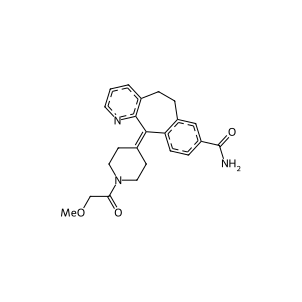 COCC(=O)N1CCC(=C2c3ccc(C(N)=O)cc3CCc3cccnc32)CC1